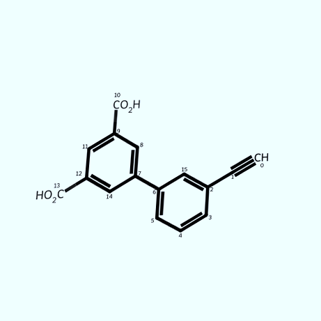 C#Cc1cccc(-c2cc(C(=O)O)cc(C(=O)O)c2)c1